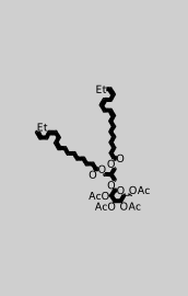 CC/C=C\C/C=C\C/C=C\CCCCCCCC(=O)OCC(COC(=O)CCCCCCC/C=C\C/C=C\C/C=C\CC)CO[C@@H]1O[C@H](COC(C)=O)[C@@H](OC(C)=O)[C@H](OC(C)=O)[C@H]1OC(C)=O